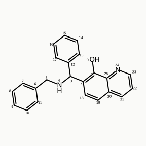 Oc1c(C(NCc2ccccc2)c2ccccc2)ccc2cccnc12